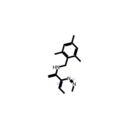 C=C(NCc1c(C)cc(C)cc1C)C(=C/C)/N=N\C